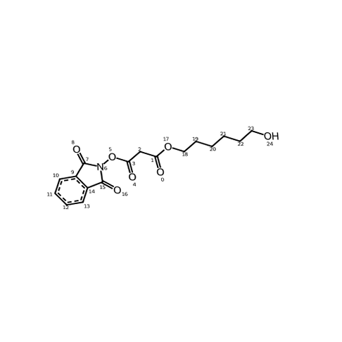 O=C(CC(=O)ON1C(=O)c2ccccc2C1=O)OCCCCCCO